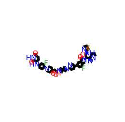 O=C1CC[C@H](Nc2ccc(N3CCC(O)(CC(=O)N4CC5(C4)CN(c4ccc(-c6cc(F)c7c(c6)C(=O)N(C(C(=O)Nc6nccs6)c6ncn8c6CCC8)C7)cn4)C5)CC3)c(F)c2)C(=O)N1